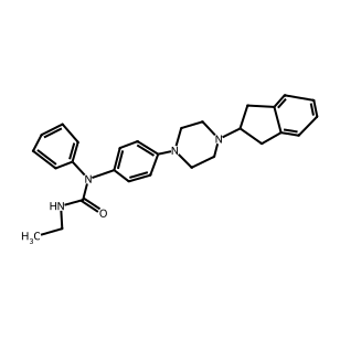 CCNC(=O)N(c1ccccc1)c1ccc(N2CCN(C3Cc4ccccc4C3)CC2)cc1